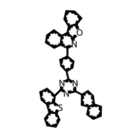 c1ccc2cc(-c3nc(-c4ccc(-c5nc6oc7ccccc7c6c6ccccc56)cc4)nc(-c4cccc5c4sc4ccccc45)n3)ccc2c1